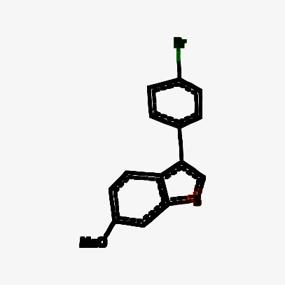 COc1ccc2c(-c3ccc(Br)cc3)csc2c1